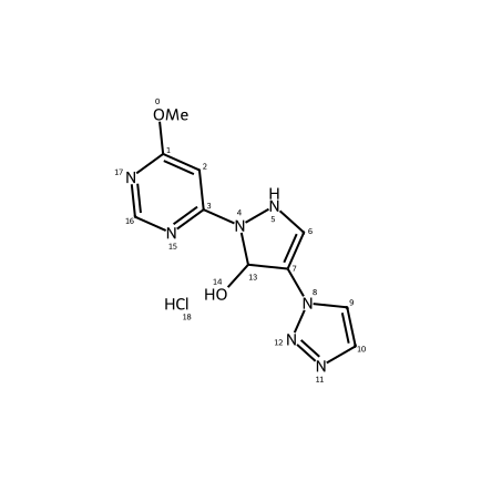 COc1cc(N2NC=C(n3ccnn3)C2O)ncn1.Cl